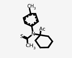 CC(=O)C1(N(C(C)=S)c2ccc(C)cc2)CCCCC1